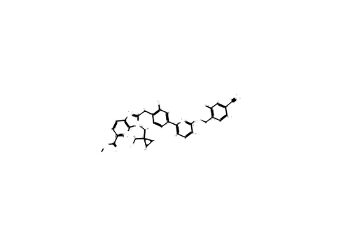 COC(=O)c1ccc2nc(Cc3ccc(-c4cccc(OCc5ccc(C#N)cc5F)n4)cc3F)n(CC3(CF)CC3)c2n1